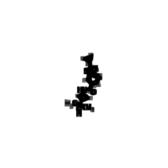 CC(C)(O)[C@H]1C[C@H](NC(=O)c2cnc3nc(C4CC4)sc3c2)C1